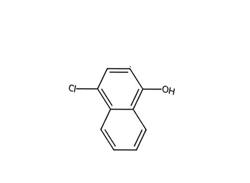 Oc1[c]cc(Cl)c2ccccc12